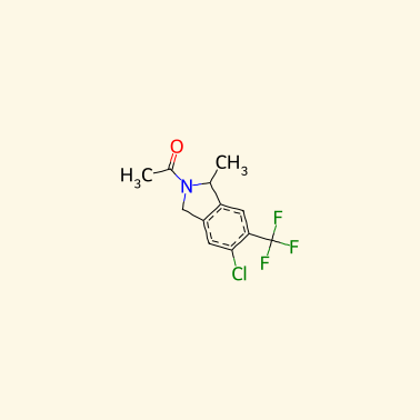 CC(=O)N1Cc2cc(Cl)c(C(F)(F)F)cc2C1C